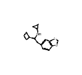 c1cc2c(cc1CC(NC1CC1)C1CCC1)OCO2